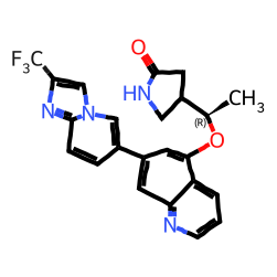 C[C@@H](Oc1cc(-c2ccc3nc(C(F)(F)F)cn3c2)cc2ncccc12)C1CNC(=O)C1